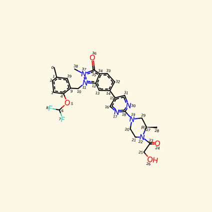 Cc1ccc(OC(F)F)c(Cn2c3cc(-c4cnc(N5CCN(C(=O)CO)[C@H](C)C5)nc4)ccc3c(=O)n2C)c1